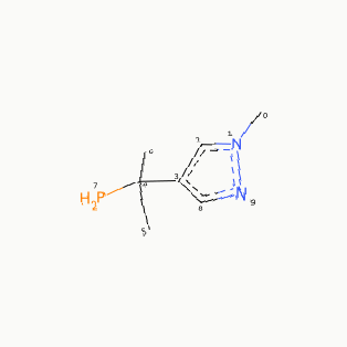 Cn1cc(C(C)(C)P)cn1